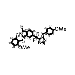 COc1ccc(Cn2nnnc2C(F)(F)c2ccc3c(C)nn(Cc4c(Cl)cccc4OC)c3c2)cc1